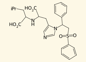 CC(C)CC(NC(Cc1cncn1C(CS(=O)(=O)c1ccccc1)c1ccccc1)C(=O)O)C(=O)O